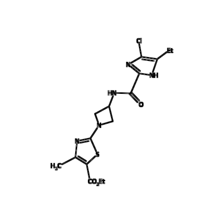 CCOC(=O)c1sc(N2CC(NC(=O)c3nc(Cl)c(CC)[nH]3)C2)nc1C